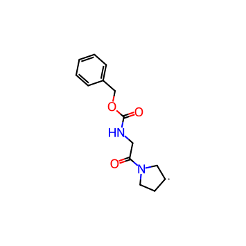 O=C(NCC(=O)N1C[CH]CC1)OCc1ccccc1